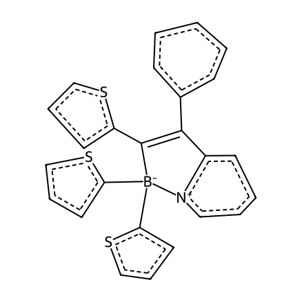 c1ccc(C2=C(c3cccs3)[B-](c3cccs3)(c3cccs3)[n+]3ccccc32)cc1